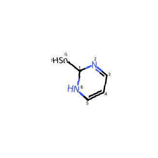 [SnH][CH]1N=CC=CN1